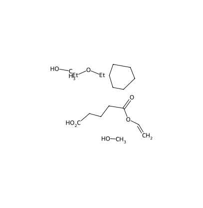 C1CCCCC1.C=COC(=O)CCCC(=O)O.CCOCC.CO.CO